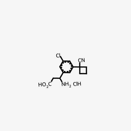 Cl.N#CC1(c2cc(Cl)cc(C(N)CC(=O)O)c2)CCC1